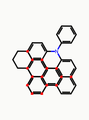 c1ccc(-c2cccc3cccc(-c4ccccc4N(c4ccccc4)c4ccccc4-c4cccc5cccc(C6CCCCC6)c45)c23)cc1